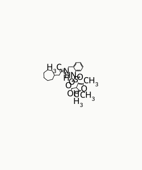 CC1=C(S(=O)(=O)Nc2ccccc2CN[C@@H](C)CC2CCCCCC2)C(C(=O)O)C(C)(C)O1